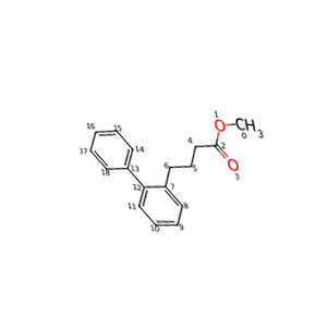 COC(=O)CCCc1ccccc1-c1ccccc1